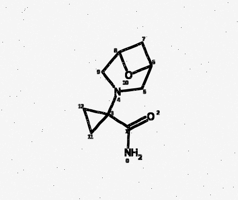 NC(=O)C1(N2CC3CC(C2)O3)CC1